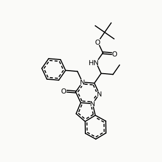 CCC(NC(=O)OC(C)(C)C)c1nn2c(cc3ccccc32)c(=O)n1Cc1ccccc1